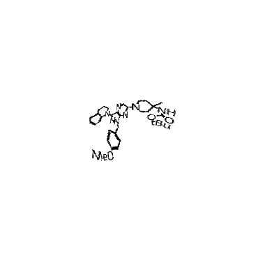 COc1ccc(Cn2nc(N3CCCc4ccccc43)c3ncc(N4CCC(C)(NC(=O)OC(C)(C)C)CC4)nc32)cc1